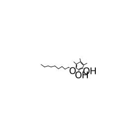 CCCCCCCCCOc1c(C)c(C)c(C)c(O)c1O